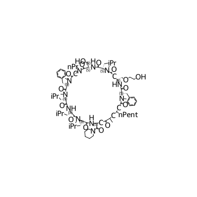 CCCCCC1CC(=O)N(C)[C@@H](Cc2ccccc2)C(=O)N[C@@H](COCCO)CC(=O)N(C)[C@@H](CC(C)C)C(=O)N[C@@H]([C@@H](C)O)C(=O)N(CCC)CC(=O)N(C)[C@@H](Cc2ccccc2)C(=O)N(C)[C@@H](CC(C)C)C(=O)N[C@@H](CC(C)C)C(=O)N(C)[C@@H](CC(C)C)C(=O)N[C@H](C(=O)N2CCCCC2)CC(=O)C(C)C1